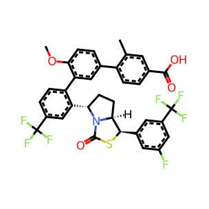 COc1ccc(-c2ccc(C(=O)O)cc2C)cc1-c1ccc(C(F)(F)F)cc1[C@@H]1CC[C@H]2[C@@H](c3cc(F)cc(C(F)(F)F)c3)SC(=O)N12